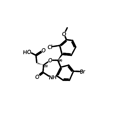 COc1cccc([C@@H]2O[C@@H](CC(=O)O)C(=O)Nc3ccc(Br)cc32)c1Cl